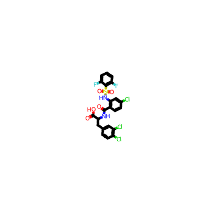 O=C(NC(Cc1ccc(Cl)c(Cl)c1)C(=O)O)c1ccc(Cl)cc1NS(=O)(=O)c1c(F)cccc1F